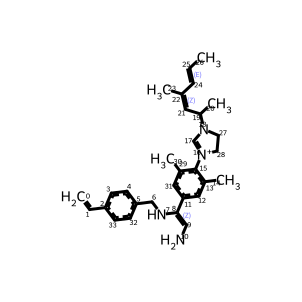 C=Cc1ccc(CN/C(=C\N)c2cc(C)c([N+]3=CN(C(C)/C=C(C)\C=C\C)CC3)c(C)c2)cc1